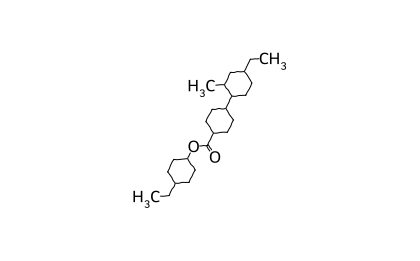 CCC1CCC(OC(=O)C2CCC(C3CCC(CC)CC3C)CC2)CC1